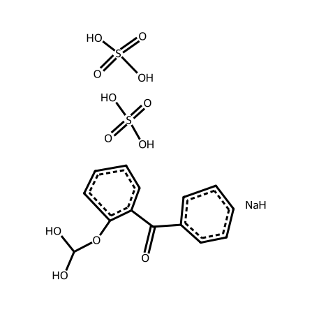 O=C(c1ccccc1)c1ccccc1OC(O)O.O=S(=O)(O)O.O=S(=O)(O)O.[NaH]